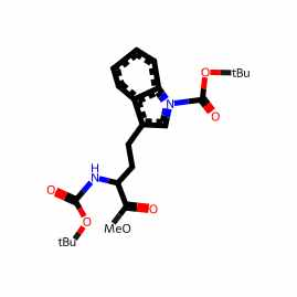 COC(=O)C(CCc1cn(C(=O)OC(C)(C)C)c2ccccc12)NC(=O)OC(C)(C)C